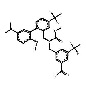 COC(=O)N(Cc1cc(C(N)=O)cc(C(F)(F)F)c1)Cc1cc(C(F)(F)F)ccc1-c1cc(C(C)C)ccc1OC